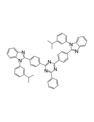 CC(C)c1cccc(-n2c(-c3ccc(-c4nc(-c5ccccc5)nc(-c5ccc(-c6nc7ccccc7n6-c6cccc(C(C)C)c6)cc5)n4)cc3)nc3ccccc32)c1